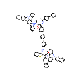 C1=C(/[C@@H]2CCc3ccccc3-c3cc4c5cc6ccccc6cc5n5c6ccccc6c(c32)c45)c2sc3ccccc3c2/N=C(/c2ccc(-c3ccc(-c4ccc5c6c(oc5c4)/C(n4c5ccccc5c5cc7c8cc9ccccc9cc8n8c9ccccc9c(c54)c78)=C\CC/C(c4ccc(-c5ccccc5)cc4)=N\6)cc3)cc2)CC/1